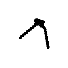 CCCCCCCCCCCCCCCCC#Cc1cccc(CC([CH]C(C)c2cccc(C#CCCCCCCCCCCCCCCCC)c2)CCCC)c1